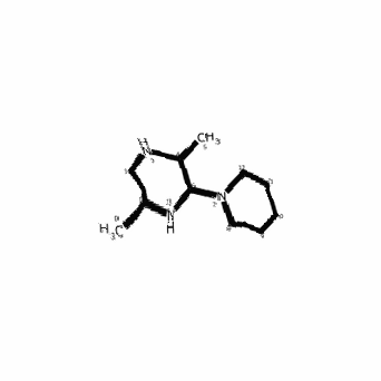 CC1CNC(C)C(N2[CH]CCCC2)N1